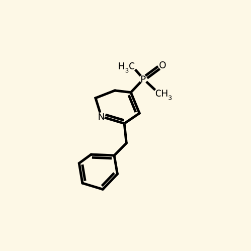 CP(C)(=O)C1=CC(Cc2ccccc2)=NCC1